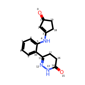 O=C1C=C(Nc2ccccc2C2=NNC(=O)CC2)CC1